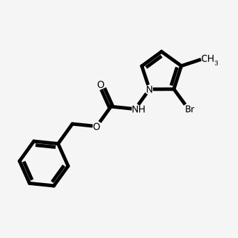 Cc1ccn(NC(=O)OCc2ccccc2)c1Br